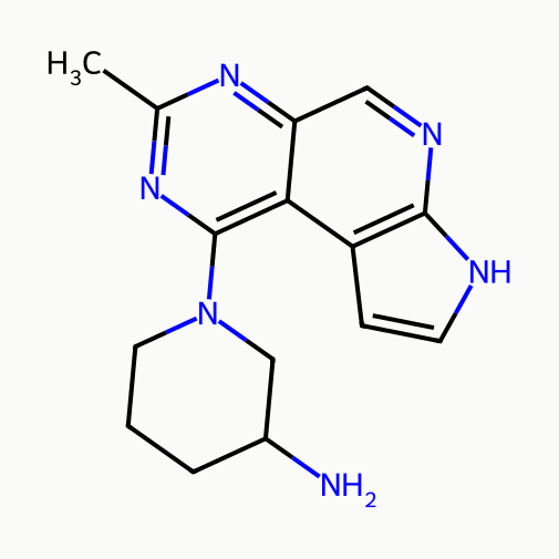 Cc1nc(N2CCCC(N)C2)c2c(cnc3[nH]ccc32)n1